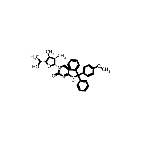 COc1ccc(C(Nc2ccn([C@@H]3O[C@H](C(C)O)[C@@H](C)[C@@H]3C)c(=O)n2)(c2ccccc2)c2ccccc2)cc1